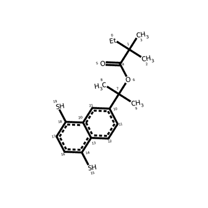 CCC(C)(C)C(=O)OC(C)(C)c1ccc2c(S)ccc(S)c2c1